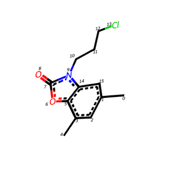 Cc1cc(C)c2oc(=O)n(CCCCl)c2c1